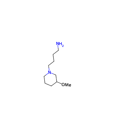 COC1CCCN(CCCCN)C1